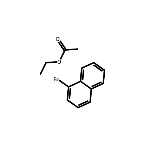 Brc1cccc2ccccc12.CCOC(C)=O